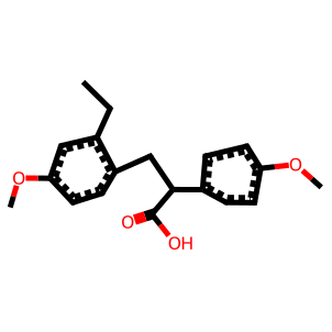 CCc1cc(OC)ccc1CC(C(=O)O)c1ccc(OC)cc1